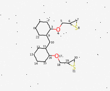 C1CCC(OCC2CS2)C(CC2CCCCC2OCC2CS2)C1